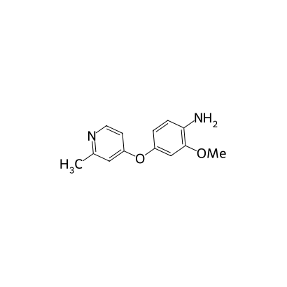 COc1cc(Oc2ccnc(C)c2)ccc1N